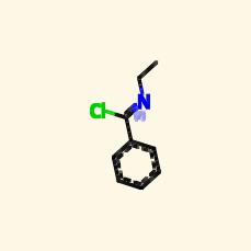 CC/N=C(\Cl)c1ccccc1